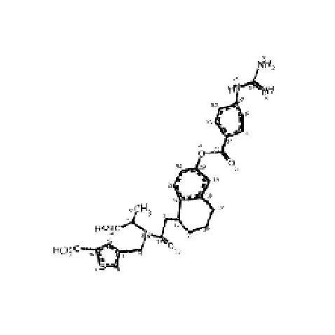 C[C@H](C(=O)O)N(Cc1csc(C(=O)O)c1)C(=O)CC1CCCc2cc(OC(=O)c3ccc(NC(=N)N)cc3)ccc21